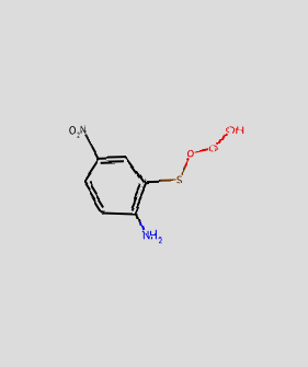 Nc1ccc([N+](=O)[O-])cc1SOOO